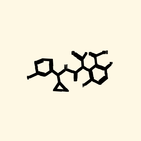 CC(=O)C(C(=O)NC(c1cccc(F)c1)C1CC1)c1c(F)ccc(F)c1C(=O)O